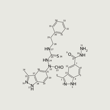 Cc1n[nH]c2ccc(C(=O)NN)cc12.Cc1n[nH]c2ccc(N(C=O)NC(=S)NCCc3ccccc3)cc12